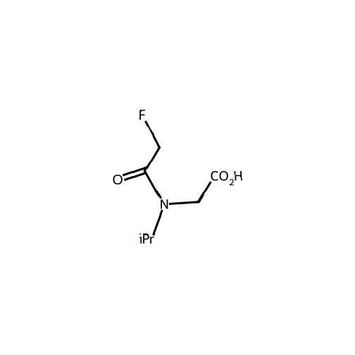 CC(C)N(CC(=O)O)C(=O)CF